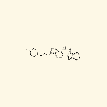 CN1CCC(CCCn2ccc3c(Cl)c(-c4nc5ccccc5[nH]4)ccc32)CC1